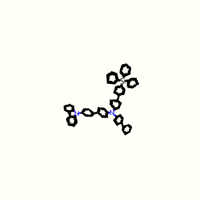 c1ccc(-c2ccc(N(c3ccc(-c4ccc(-n5c6ccccc6c6ccccc65)cc4)cc3)c3ccc(-c4ccc([Si](c5ccccc5)(c5ccccc5)c5ccccc5)cc4)cc3)cc2)cc1